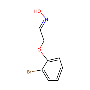 ON=CCOc1ccccc1Br